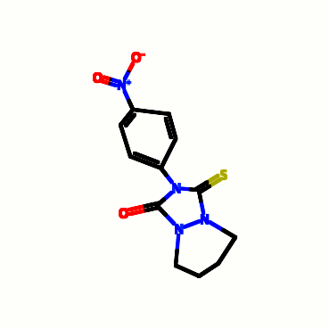 O=c1n(-c2ccc([N+](=O)[O-])cc2)c(=S)n2n1CCCC2